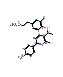 CCOC(=O)CCc1ccc(OC(C)c2ccc(-c3ccc(C(F)(F)F)cc3)nc2C)c(C)c1